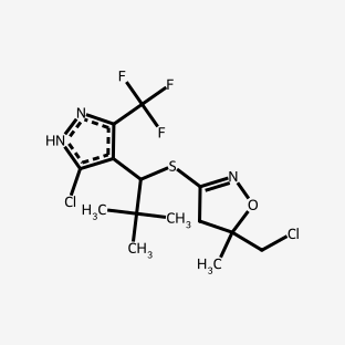 CC1(CCl)CC(SC(c2c(C(F)(F)F)n[nH]c2Cl)C(C)(C)C)=NO1